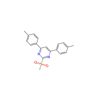 Cc1ccc(-c2cc(-c3ccc(C)cc3)nc(S(C)(=O)=O)n2)cc1